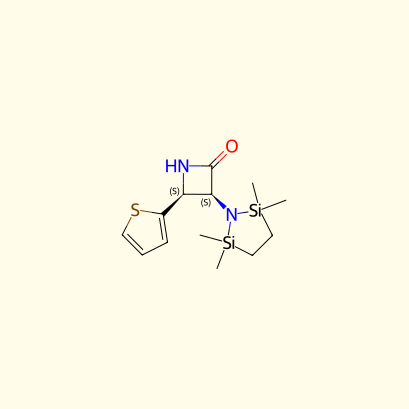 C[Si]1(C)CC[Si](C)(C)N1[C@@H]1C(=O)N[C@@H]1c1cccs1